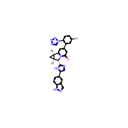 O=c1cc(-c2cc(Cl)ccc2-n2cnnn2)cc2n1[C@H](c1ncc(-c3ccc4[nH]ncc4c3)[nH]1)[C@H]1C[C@@H]21